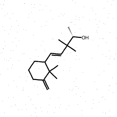 C=C1CCCC(/C=C/C(C)(C)[C@H](C)O)C1(C)C